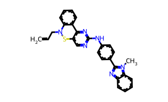 C=CCN1Sc2cnc(Nc3ccc(-c4nc5ccccc5n4C)cc3)nc2-c2ccccc21